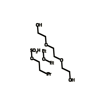 CC(C)CCOS(=O)(=O)O.CCOCC.OCCOCCOCCO